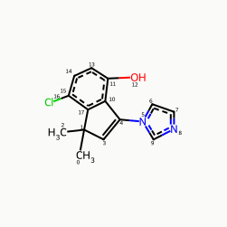 CC1(C)C=C(n2ccnc2)c2c(O)ccc(Cl)c21